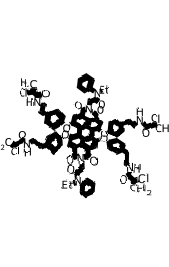 C=C(Cl)C(=O)NCCc1ccc(Oc2cc3c4c(cc(Oc5ccc(CCNC(=O)C(=C)Cl)cc5)c5c6c(Oc7ccc(CCNC(=O)C(=C)Cl)cc7)cc7c8c(cc(Oc9ccc(CCNC(=O)C(=C)Cl)cc9)c(c2c45)c86)C(=O)N(CC(=O)N(CC)c2ccccc2)C7=O)C(=O)N(CC(=O)N(CC)c2ccccc2)C3=O)cc1